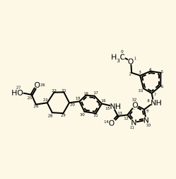 COCc1cccc(Nc2nnc(C(=O)Nc3ccc(C4CCC(CC(=O)O)CC4)cc3)o2)c1